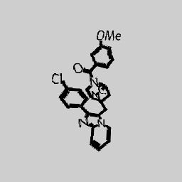 COc1cccc(C(=O)N2CC3CCC2CN3Cc2c(-c3ccc(Cl)cc3)nc3ccccn23)c1